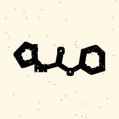 O=C(Nc1cccs1)Oc1ccccc1